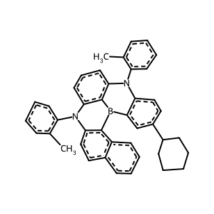 Cc1ccccc1N1c2ccc(C3CCCCC3)cc2B2c3c1cccc3N(c1ccccc1C)c1ccc3ccccc3c12